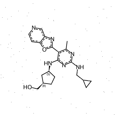 Cc1nc(NCC2CC2)nc(N[C@H]2CC[C@@H](CO)C2)c1-c1nc2cnccc2o1